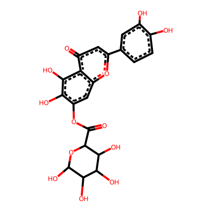 O=C(Oc1cc2oc(-c3ccc(O)c(O)c3)cc(=O)c2c(O)c1O)C1OC(O)C(O)C(O)C1O